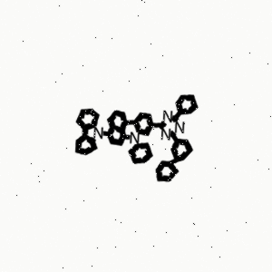 c1ccc(-c2cccc(-c3nc(-c4ccccc4)nc(-c4ccc5c(c4)N(c4ccccc4)c4ccc(-n6c7ccccc7c7ccccc76)c6cccc-5c46)n3)c2)cc1